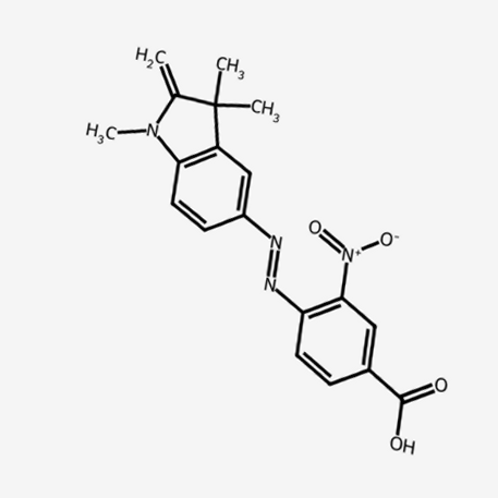 C=C1N(C)c2ccc(/N=N/c3ccc(C(=O)O)cc3[N+](=O)[O-])cc2C1(C)C